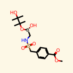 COC(=O)c1ccc(CS(=O)(=O)NCB(O)OC(C)(C)C(C)(C)O)cc1